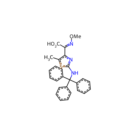 CON=C(C(=O)O)c1nc(NC(c2ccccc2)(c2ccccc2)c2ccccc2)sc1C